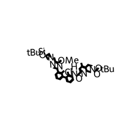 COc1nc(-c2cccc(-c3cccc(NC(=O)c4cc(C)c5c(n4)CN(C(=O)OC(C)(C)C)CC5)c3Cl)c2C)cnc1CN1CC(O[Si](C)(C)C(C)(C)C)C1